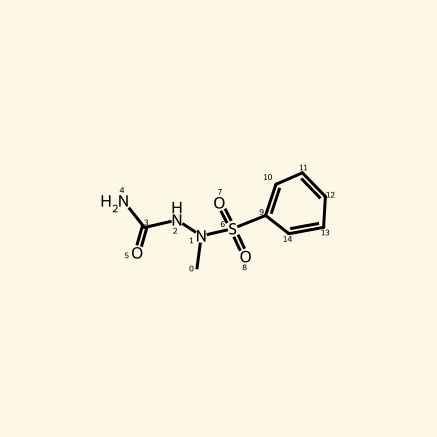 CN(NC(N)=O)S(=O)(=O)c1ccccc1